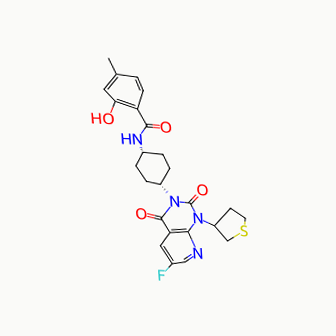 Cc1ccc(C(=O)N[C@H]2CC[C@@H](n3c(=O)c4cc(F)cnc4n(C4CCSC4)c3=O)CC2)c(O)c1